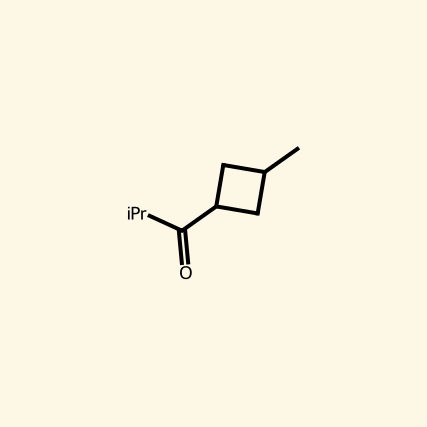 CC1CC(C(=O)C(C)C)C1